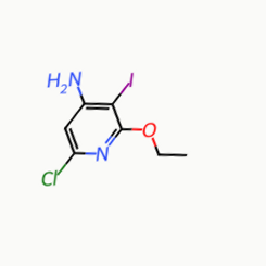 CCOc1nc(Cl)cc(N)c1I